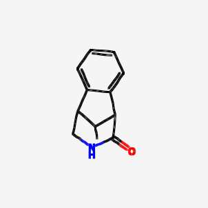 CC1C2CNC(=O)C1c1ccccc12